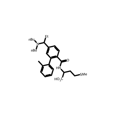 CCCCN(CCCC)C(CC)c1ccc(C(=O)NC(CCSC)C(=O)O)c(-c2ccccc2C)c1